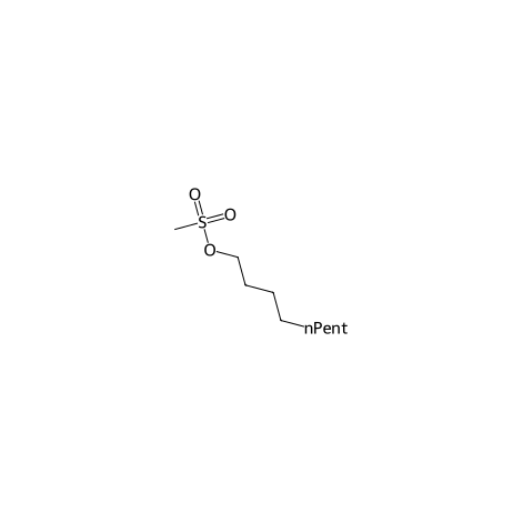 [CH2]CCCCCCCCOS(C)(=O)=O